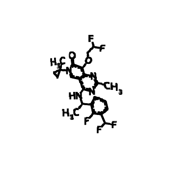 Cc1nc(N[C@H](C)c2cccc(C(F)F)c2F)c2cn(C3(C)CC3)c(=O)c(OCC(F)F)c2n1